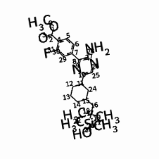 COC(=O)c1ccc(-c2nc(C3CCCC(CC(C)(C)[Si](C)(C)O)C3)cnc2N)cc1F